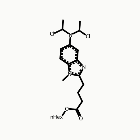 CCCCCCOC(=O)CCCc1nc2cc(N(C(C)Cl)C(C)Cl)ccc2n1C